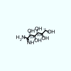 N=C(N)[C@H](O)[C@@H](O)[C@H](O)[C@H](O)CO